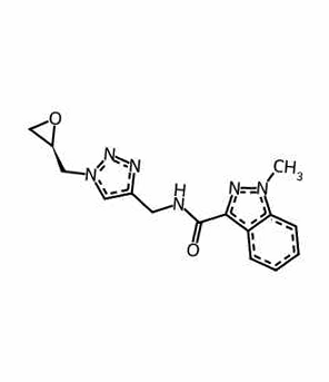 Cn1nc(C(=O)NCc2cn(C[C@H]3CO3)nn2)c2ccccc21